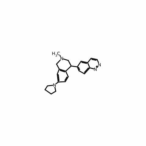 CN1Cc2cc(N3CCCC3)ccc2C(c2ccc3nnccc3c2)C1